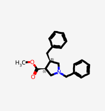 COC(=O)[C@@H]1CN(Cc2ccccc2)C[C@@H]1Cc1ccccc1